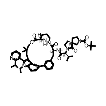 CCn1c(-c2cccnc2C(C)C)c2c3cc(ccc31)-c1cccc(c1)C[C@H](NC(=O)[C@H](C(C)C)N1CC[C@]3(CCN(C(=O)OC(C)(C)C)C3)C1=O)C(=O)N1CCC[C@H](N1)C(=O)OCC(C)(C)C2